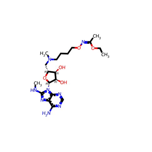 CCOC(C)=NOCCCCN(C)C[C@H]1O[C@@H](n2c(NC)nc3c(N)ncnc32)[C@H](O)[C@@H]1O